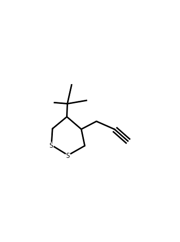 C#CCC1CSSCC1C(C)(C)C